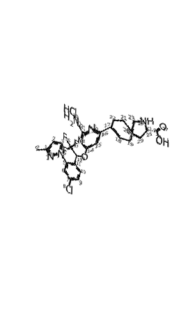 Cc1ccn(-c2cc(Cl)ccc2C(Oc2cc(C3=CC[C@@]4(CC3)CN[C@H](C(=O)O)C4)nc(N)n2)C(F)(F)F)n1.Cl